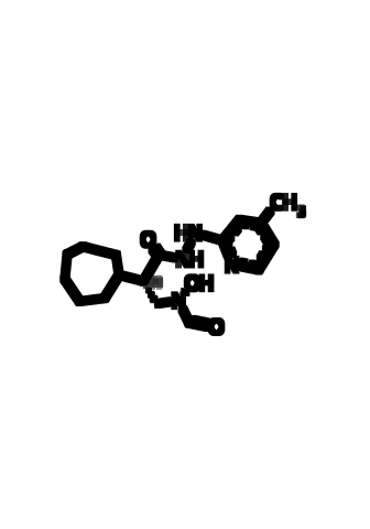 Cc1ccnc(NNC(=O)[C@H](CN(O)C=O)C2CCCCCC2)c1